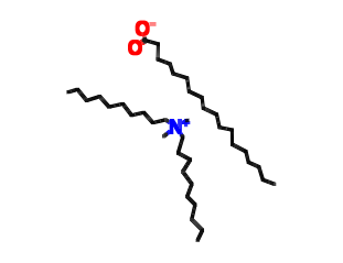 CCCCCCCCCCCCCCCCCC(=O)[O-].CCCCCCCCCC[N+](C)(C)CCCCCCCCCC